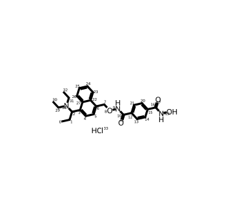 CCC(c1ccc(CONC(=O)c2ccc(C(=O)NO)cc2)c2ccccc12)N(CC)CC.Cl